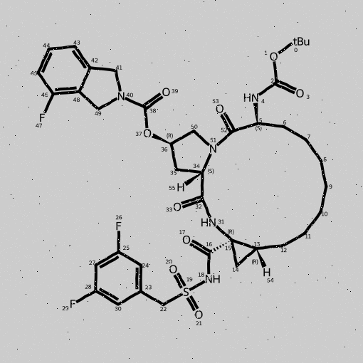 CC(C)(C)OC(=O)N[C@H]1CCCCCCC[C@@H]2C[C@@]2(C(=O)NS(=O)(=O)Cc2cc(F)cc(F)c2)NC(=O)[C@@H]2C[C@@H](OC(=O)N3Cc4cccc(F)c4C3)CN2C1=O